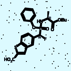 CC(C)COC(=O)[C@H](C)NP(=O)(Oc1ccccc1)[C@@H](F)c1ccc2sc(C(=O)O)cc2c1